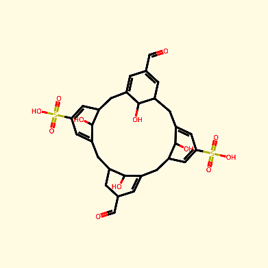 O=CC1=CC2CC3=CC(S(=O)(=O)O)=CC(CC4=CC(C=O)CC(CC5=CC(S(=O)(=O)O)=CC(CC(=C1)C2O)C5O)C4O)C3O